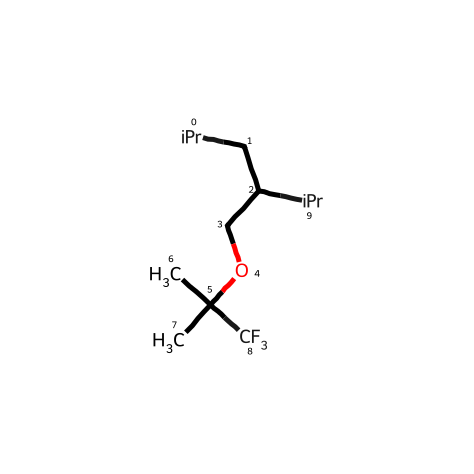 CC(C)CC(COC(C)(C)C(F)(F)F)C(C)C